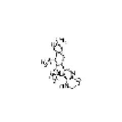 Cc1cc2cc(-c3cnc4c(c3C)NCCO4)c(C#N)c(N)c2cn1